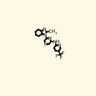 Cc1nc2ccccc2n1-c1cncc(Nc2ccc(C(F)(F)F)cn2)n1